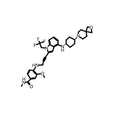 CNC(=O)c1ccc(NCC#Cc2cc3c(N[C@H]4CC[C@H](N5CCC6(CC5)COC6)CC4)cccc3n2CC(F)(F)F)c(OC)c1